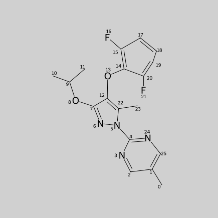 Cc1cnc(-n2nc(OC(C)C)c(Oc3c(F)cccc3F)c2C)nc1